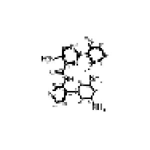 Nc1cnc(-c2c(F)cccc2F)nc1C(=O)Nc1cnccc1N1C[C@H](N)C[C@H](N)C1